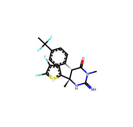 CN1C(=N)N[C@](C)(c2cc(F)c(F)s2)[C@H](c2ccc(C(C)(F)F)cc2)C1=O